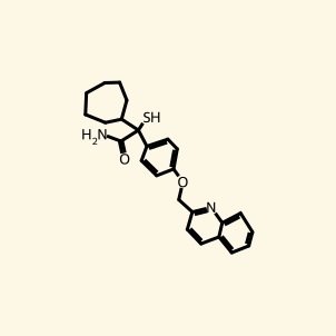 NC(=O)C(S)(c1ccc(OCc2ccc3ccccc3n2)cc1)C1CCCCCC1